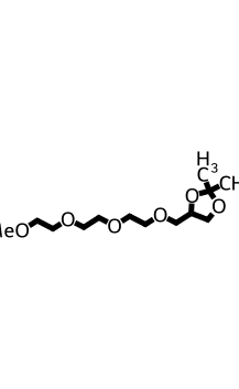 COCCOCCOCCOCC1COC(C)(C)O1